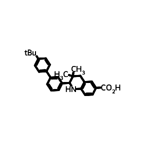 CC(C)(C)c1ccc(-c2cccc(C3Nc4ccc(C(=O)O)cc4CC3(C)C)c2)cc1